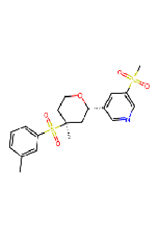 Cc1cccc(S(=O)(=O)[C@@]2(C)CCO[C@H](c3cncc(S(C)(=O)=O)c3)C2)c1